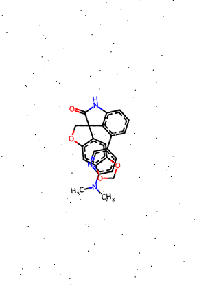 CN(C)c1ccc(-c2cccc3c2C2(COc4cc5c(cc42)OCO5)C(=O)N3)cn1